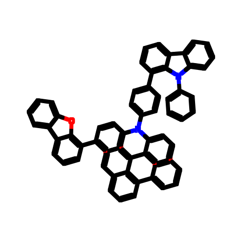 c1ccc(-c2cccc3cccc(-c4ccccc4N(c4ccc(-c5cccc6c5oc5ccccc56)cc4)c4ccc(-c5cccc6c7ccccc7n(-c7ccccc7)c56)cc4)c23)cc1